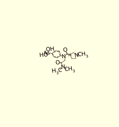 CN1CC[C@@H](C(=O)N(CC(=O)N(C)C)c2ccc([As](O)O)cc2)C1